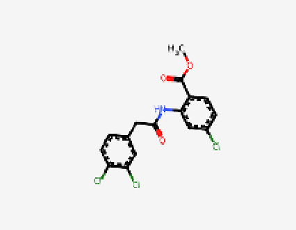 COC(=O)c1ccc(Cl)cc1NC(=O)Cc1ccc(Cl)c(Cl)c1